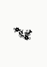 C[C@@H]1CN(Cc2ccc(F)c(F)c2)[C@@H](C)CN1C(=O)COc1ccc(Cl)cc1CS(=O)(=O)NC(=O)C1CC1